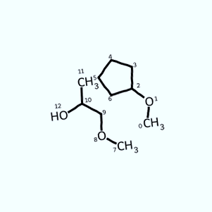 COC1CCCC1.COCC(C)O